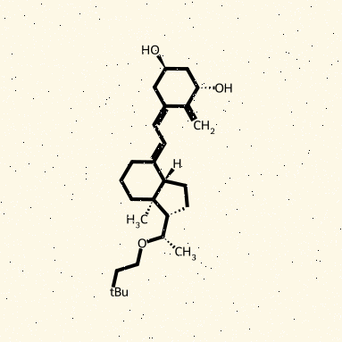 C=C1/C(=C\C=C2/CCC[C@]3(C)[C@@H]([C@H](C)OCCC(C)(C)C)CC[C@@H]23)C[C@@H](O)C[C@@H]1O